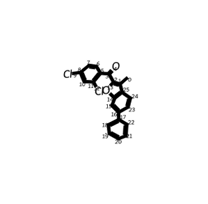 Cc1c(C(=O)c2ccc(Cl)cc2Cl)oc2cc(-c3c[c]ccc3)ccc12